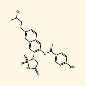 CCCCc1ccc(C(=O)Oc2cc3ccc(CCC(C)C#N)cc3cc2N2CC(=O)NS2(=O)=O)cc1